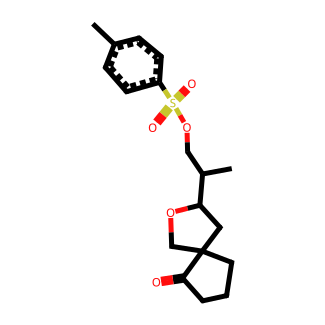 Cc1ccc(S(=O)(=O)OCC(C)C2CC3(CCCC3=O)CO2)cc1